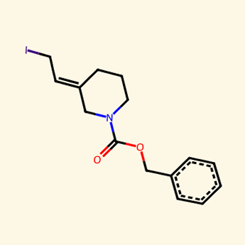 O=C(OCc1ccccc1)N1CCCC(=CCI)C1